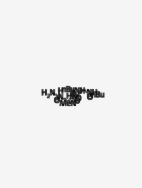 CCCCC(=O)NCCC(C)CC(NC(=O)CCCC)C(=O)NC(CC(C)C(C)CCNC(=O)CCN)C(=O)NC